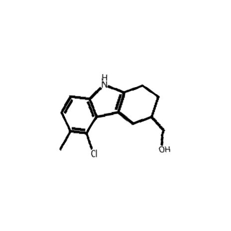 Cc1ccc2[nH]c3c(c2c1Cl)CC(CO)CC3